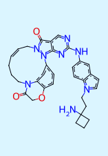 NC1(CCn2ccc3cc(Nc4ncc5c(=O)n6n(c5n4)-c4ccc5c(c4)N(CCC/C=C\C6)C(=O)CO5)ccc32)CCC1